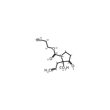 C=CCC1(C(=O)O)C(=O)CCN1C(=O)OCCC(C)(C)C